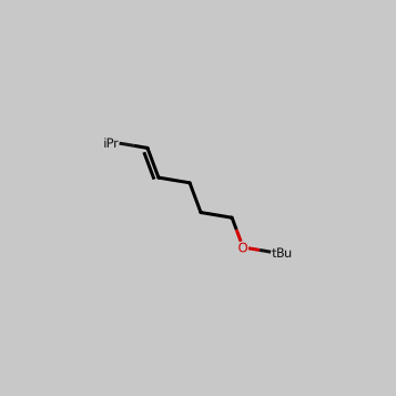 CC(C)/C=C/CCCOC(C)(C)C